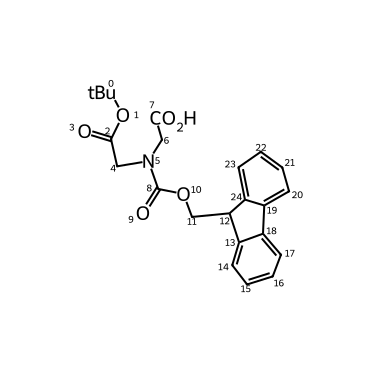 CC(C)(C)OC(=O)CN(CC(=O)O)C(=O)OCC1c2ccccc2-c2ccccc21